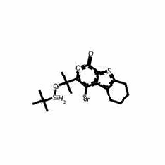 CC(C)(C)[SiH2]OC(C)(C)c1oc(=O)c2sc3c(c2c1Br)CCCC3